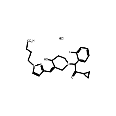 Cl.O=C(O)CCCn1ccc(C=C2CN(C(C(=O)C3CC3)c3ccccc3F)CCC2S)n1